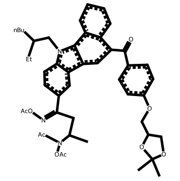 CCCCC(CC)Cn1c2ccc(/C(CC(C)N(OC(C)=O)C(C)=O)=N\OC(C)=O)cc2c2cc(C(=O)c3ccc(OCC4COC(C)(C)O4)cc3)c3ccccc3c21